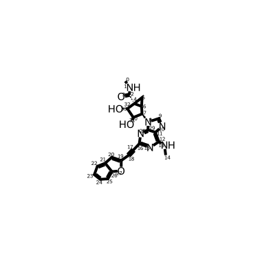 CNC(=O)[C@]12CC1[C@@H](n1cnc3c(NC)nc(C#Cc4cc5ccccc5o4)nc31)C(O)[C@@H]2O